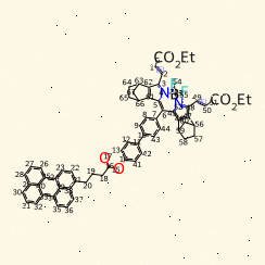 CCOC(=O)/C=C/C1=[N+]2C(=C(c3ccc(-c4ccc(OC(=O)CCCc5ccc6c7cccc8cccc(c9cccc5c96)c87)cc4)cc3)c3c4c(c(/C=C/C(=O)OCC)n3[B-]2(F)F)C2CCC4C2)C2=C1C1CCC2C1